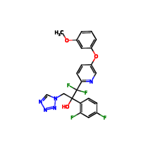 COc1cccc(Oc2ccc(C(F)(F)C(O)(Cn3cnnn3)c3ccc(F)cc3F)nc2)c1